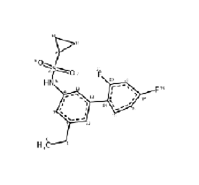 CCc1cc(NS(=O)(=O)C2CC2)cc(-c2ccc(F)cc2F)c1